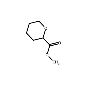 COC(=O)C1[CH][CH][CH]CO1